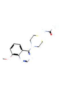 COc1cccc2c(N3CC[SH](NC(N)=O)CC3)ncnc12